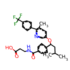 Cc1cc(OC(CC(C)C)c2ccc(C(=O)NCCC(=O)O)cc2)cnc1-c1ccc(C(F)(F)F)cc1